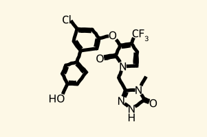 Cn1c(Cn2ccc(C(F)(F)F)c(Oc3cc(Cl)cc(-c4ccc(O)cc4)c3)c2=O)n[nH]c1=O